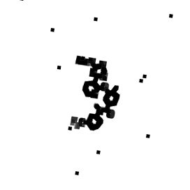 CNc1ncnc(-c2cccnc2Oc2cc(C(=O)N(C)c3cccc(C(F)(F)F)c3)ccc2C)n1